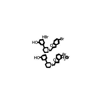 Br.Br.O.Oc1cccc(C2CCCN(Cc3cc4cc(Br)ccc4o3)C2)c1.Oc1cccc(C2CCCN(Cc3cc4cc(Br)ccc4o3)C2)c1